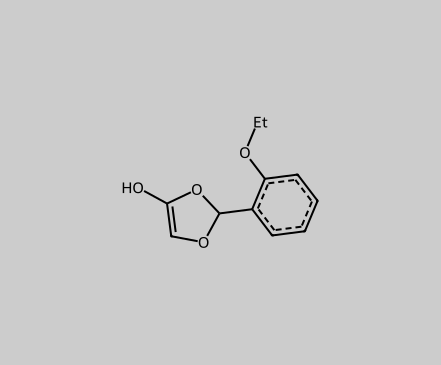 CCOc1ccccc1C1OC=C(O)O1